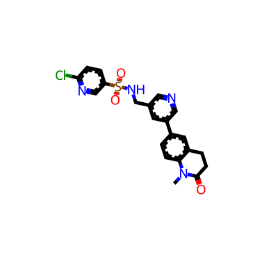 CN1C(=O)CCc2cc(-c3cncc(CNS(=O)(=O)c4ccc(Cl)nc4)c3)ccc21